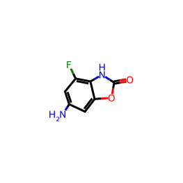 Nc1cc(F)c2[nH]c(=O)oc2c1